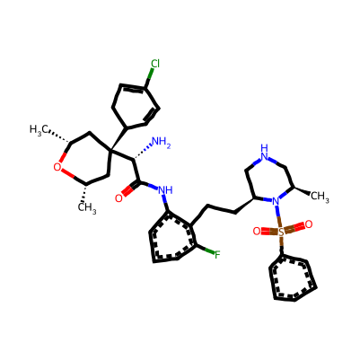 C[C@@H]1C[C@](C2C=CC(Cl)=CC2)([C@H](N)C(=O)Nc2cccc(F)c2CC[C@H]2CNC[C@@H](C)N2S(=O)(=O)c2ccccc2)C[C@H](C)O1